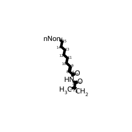 C=C(C)C(=O)NC(=O)C=CCCCCCCCCCCCCCCC